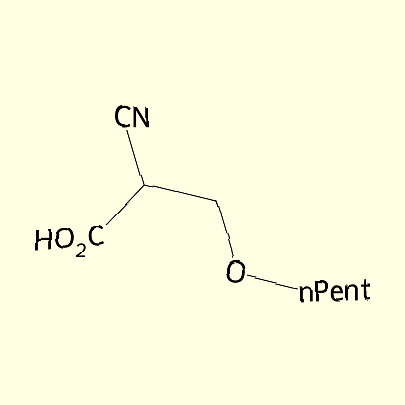 CCCCCOCC(C#N)C(=O)O